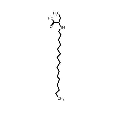 CCCCCCCCCCCCCCCCNC(CC)C(=O)O